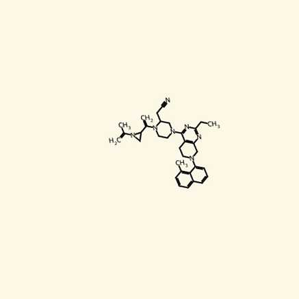 C=C(C1CN1C(=C)C)N1CCN(c2nc(CC)nc3c2CCN(c2cccc4cccc(C)c24)C3)CC1CC#N